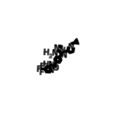 Nc1nccn2c(C3CCCN(CC4CC4)C3)nc(-c3ccc(C(=O)Nc4cc(C(F)(F)F)ccn4)cc3)c12